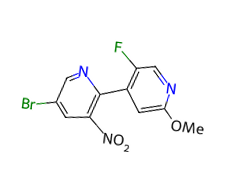 COc1cc(-c2ncc(Br)cc2[N+](=O)[O-])c(F)cn1